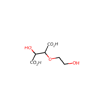 O=C(O)C(O)C(OCCO)C(=O)O